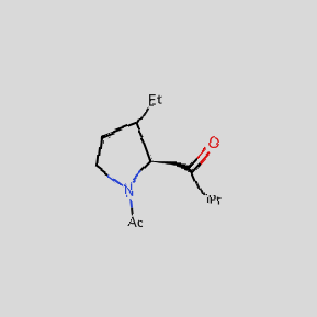 CCC1CCN(C(C)=O)[C@@H]1C(=O)C(C)C